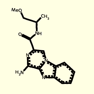 COCC(C)NC(=O)c1cn2c(nc3ccccc32)c(N)n1